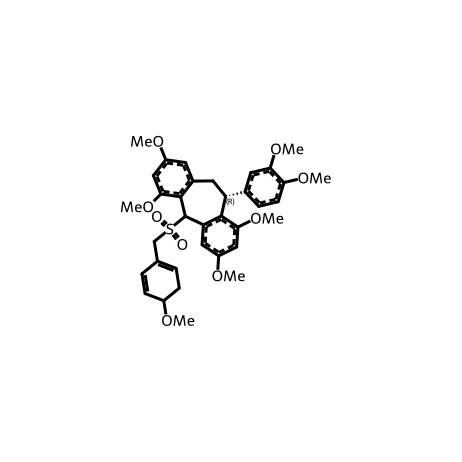 COc1cc2c(c(OC)c1)C(S(=O)(=O)CC1=CCC(OC)C=C1)c1cc(OC)cc(OC)c1[C@@H](c1ccc(OC)c(OC)c1)C2